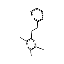 Cc1nc(C)c(CCc2ccccn2)nc1C